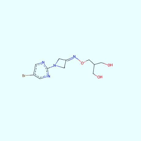 OCC(CO)CON=C1CN(c2ncc(Br)cn2)C1